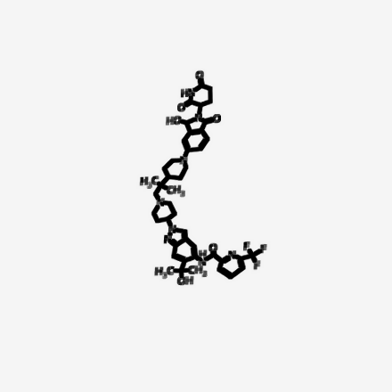 CC(C)(O)c1cc2nn(C3CCN(CC(C)(C)C4CCN(c5ccc6c(c5)C(O)N(C5CCC(=O)NC5=O)C6=O)CC4)CC3)cc2cc1NC(=O)c1cccc(C(F)(F)F)n1